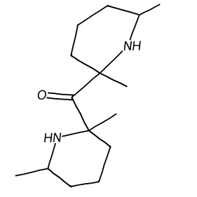 CC1CCCC(C)(C(=O)C2(C)CCCC(C)N2)N1